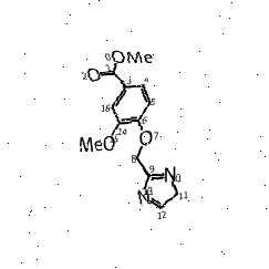 COC(=O)c1ccc(OCC2=NCC=N2)c(OC)c1